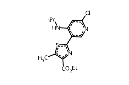 CCOC(=O)c1nc(-c2cnc(Cl)cc2NC(C)C)sc1C